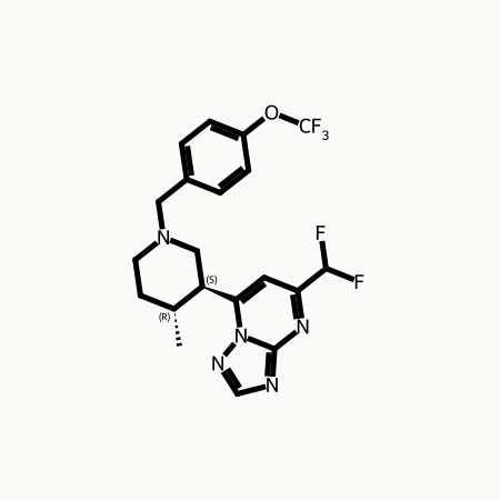 C[C@@H]1CCN(Cc2ccc(OC(F)(F)F)cc2)C[C@H]1c1cc(C(F)F)nc2ncnn12